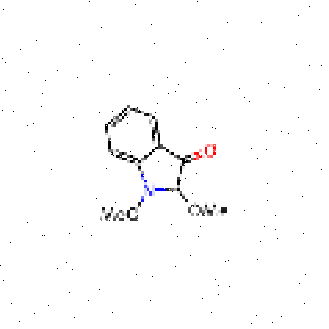 COC1C(=O)c2ccccc2N1OC